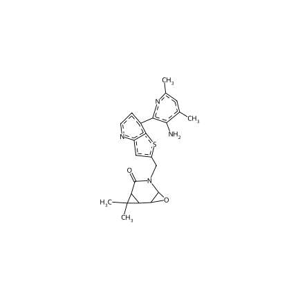 Cc1cc(C)c(N)c(-c2ccnc3cc(CN4C(=O)C5C(C6OC64)C5(C)C)sc23)n1